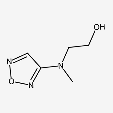 CN(CCO)c1cnon1